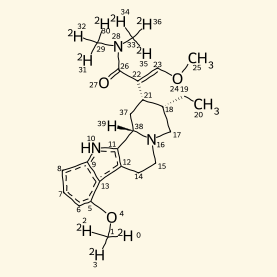 [2H]C([2H])([2H])Oc1cccc2[nH]c3c(c12)CCN1C[C@@H](CC)[C@@H](/C(=C\OC)C(=O)N(C([2H])([2H])[2H])C([2H])([2H])[2H])C[C@@H]31